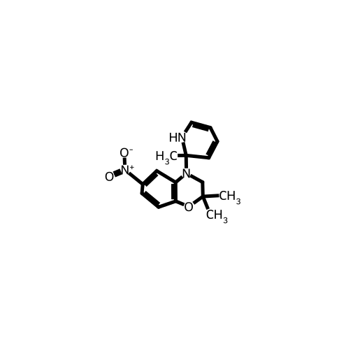 CC1(C)CN(C2(C)C=CC=CN2)c2cc([N+](=O)[O-])ccc2O1